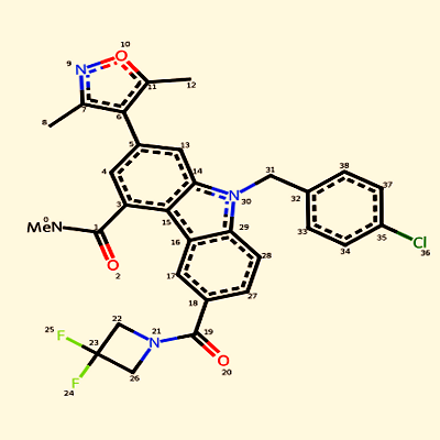 CNC(=O)c1cc(-c2c(C)noc2C)cc2c1c1cc(C(=O)N3CC(F)(F)C3)ccc1n2Cc1ccc(Cl)cc1